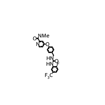 CNC(=O)c1cc(Oc2ccc(CNC(=O)Nc3cc(C(F)(F)F)ccc3F)cc2)ccn1